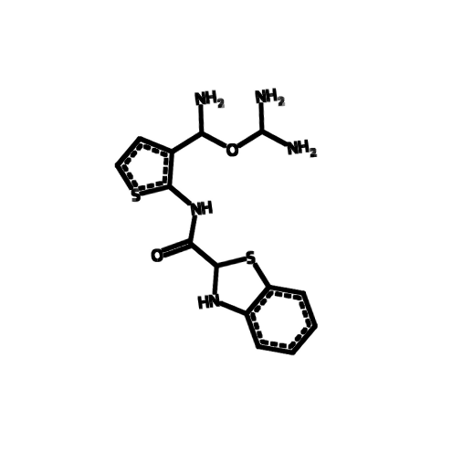 NC(N)OC(N)c1ccsc1NC(=O)C1Nc2ccccc2S1